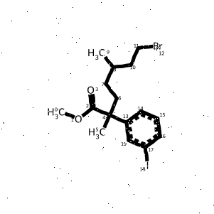 COC(=O)C(C)(CCC(C)CCBr)c1cccc(I)c1